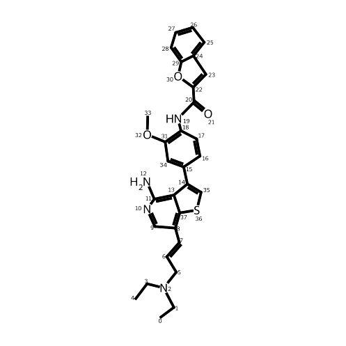 CCN(CC)C/C=C/c1cnc(N)c2c(-c3ccc(NC(=O)c4cc5ccccc5o4)c(OC)c3)csc12